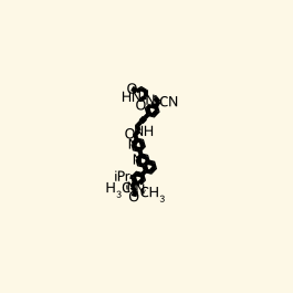 CC(C)c1cc(-c2cccc3cc(-c4ccc(C(=O)NCC#Cc5ccc6c(C#N)cn(C7CCC(=O)NC7=O)c6c5)nc4)ncc23)cc2c1n(C)c(=O)n2C